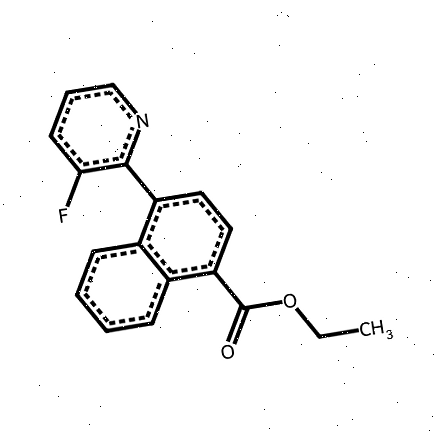 CCOC(=O)c1ccc(-c2ncccc2F)c2ccccc12